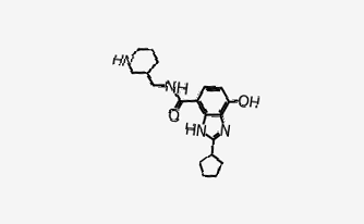 O=C(NCC1CCCNC1)c1ccc(O)c2nc(C3CCCC3)[nH]c12